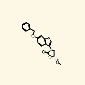 COC[C@H]1CN(c2csc3cc(OCc4ccccc4)ccc23)C(=O)O1